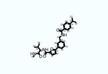 CNC(=O)[C@@H](NC(=O)c1ccc(-c2cccc(CNC(=O)c3ccc(C(C)C)cc3)c2)o1)C(C)C